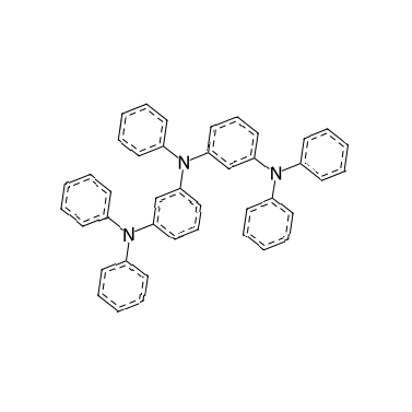 c1ccc(N(c2ccccc2)c2cccc(N(c3ccccc3)c3cccc(N(c4ccccc4)c4ccccc4)c3)c2)cc1